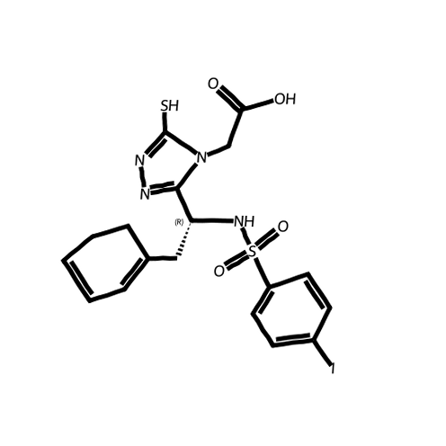 O=C(O)Cn1c(S)nnc1[C@@H](CC1=CC=CCC1)NS(=O)(=O)c1ccc(I)cc1